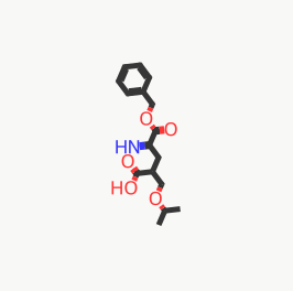 CC(C)OCC(CC(=N)C(=O)OCc1ccccc1)C(=O)O